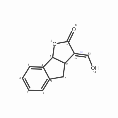 O=C1OC2c3ccccc3CC2/C1=C\O